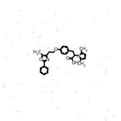 Cc1oc(-c2ccccc2)nc1CCOc1ccc(CC(C(=O)O)n2c(C)ccc2C)cc1